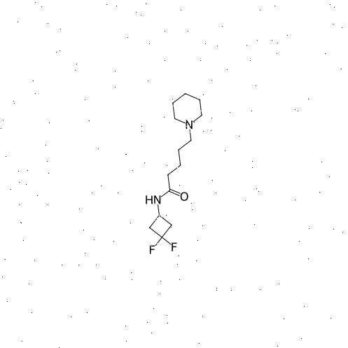 O=C(CCCCN1CCCCC1)NC1CC(F)(F)C1